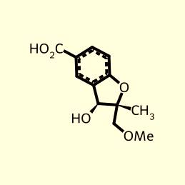 COC[C@@]1(C)Oc2ccc(C(=O)O)cc2[C@@H]1O